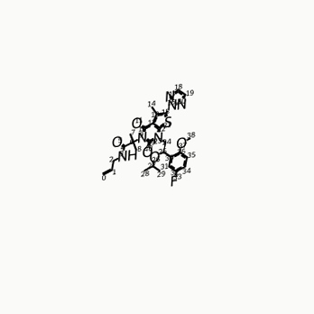 C=CCNC(=O)C(C)(C)n1c(=O)c2c(C)c(-n3nccn3)sc2n(C[C@H](OC(C)C)c2cc(F)ccc2OC)c1=O